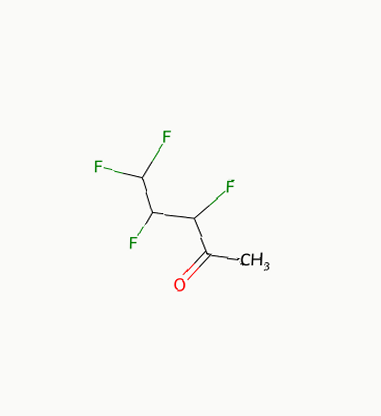 CC(=O)C(F)C(F)C(F)F